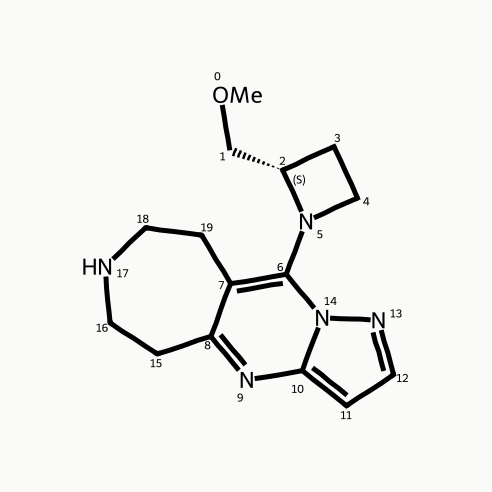 COC[C@@H]1CCN1c1c2c(nc3ccnn13)CCNCC2